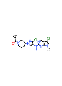 CCn1cc(Cl)c2cnc(Nc3cn(C4CCCN(C(=O)C5CC5)CC4)nc3Cl)nc21